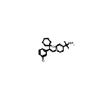 CC(C)(N)C1CCN(CC(c2cccc(Cl)c2)C2(O)CCCCC2)CC1